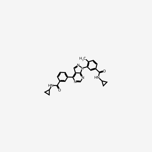 Cc1ccc(C(=O)NC2CC2)cc1-n1ncc2c(-c3cccc(C(=O)NC4CC4)c3)ncnc21